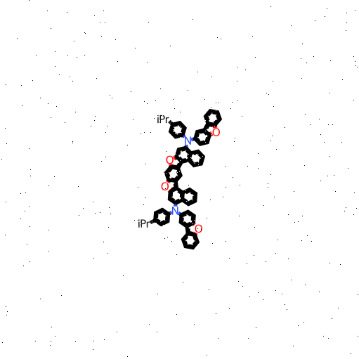 CC(C)c1ccc(N(c2ccc3oc4ccccc4c3c2)c2cc3oc4cc5oc6cc(N(c7ccc(C(C)C)cc7)c7ccc8oc9ccccc9c8c7)c7ccccc7c6c5cc4c3c3ccccc23)cc1